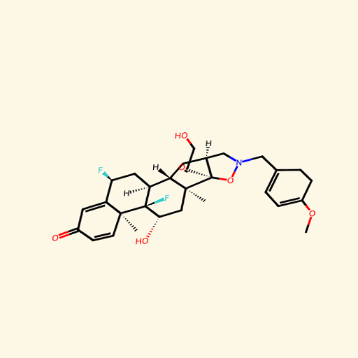 COC1=CC=C(CN2C[C@@H]3C[C@H]4[C@@H]5C[C@H](F)C6=CC(=O)C=C[C@]6(C)[C@@]5(F)[C@@H](O)C[C@]4(C)[C@]3(C(=O)CO)O2)CC1